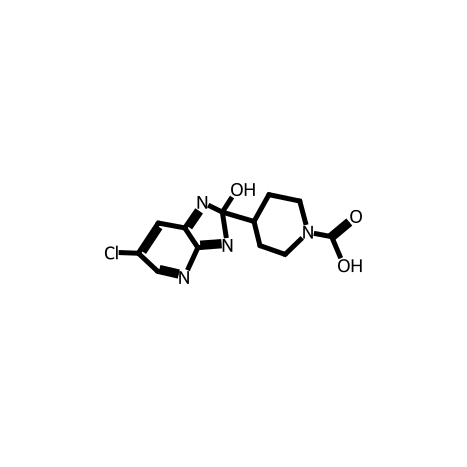 O=C(O)N1CCC(C2(O)N=c3cc(Cl)cnc3=N2)CC1